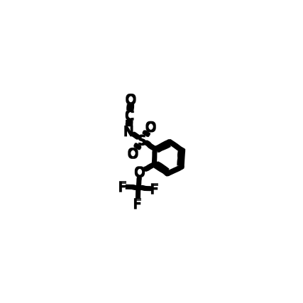 O=C=NS(=O)(=O)c1ccccc1OC(F)(F)F